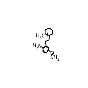 COc1ccc(N)c(CCC2CCCCN2C)c1